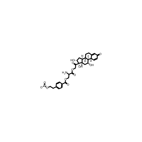 C[C@]12C=CC(=O)C=C1CC[C@H]1[C@@H]3C[C@@H](O)[C@](O)(C(=O)COC(=O)C(N)COC(=O)c4ccc(CCO[N+](=O)[O-])cc4)[C@@]3(C)C[C@H](O)[C@@]12F